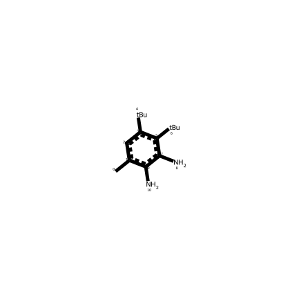 Cc1cc(C(C)(C)C)c(C(C)(C)C)c(N)c1N